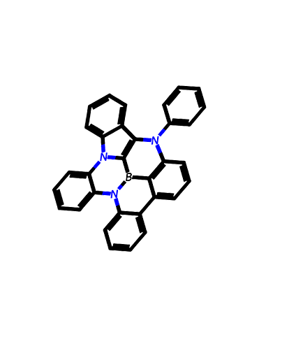 c1ccc(N2c3cccc4c3B3c5c2c2ccccc2n5-c2ccccc2N3c2ccccc2-4)cc1